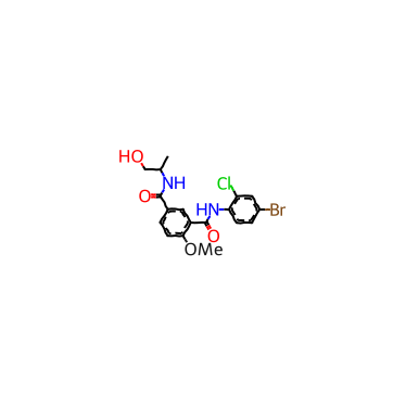 COc1ccc(C(=O)NC(C)CO)cc1C(=O)Nc1ccc(Br)cc1Cl